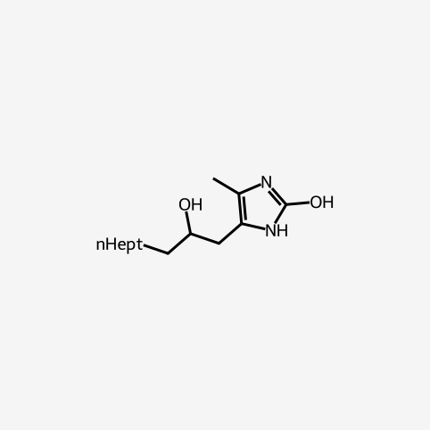 CCCCCCCCC(O)Cc1[nH]c(O)nc1C